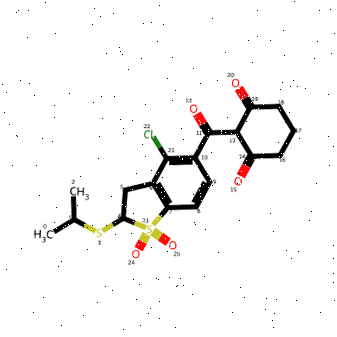 CC(C)SC1Cc2c(ccc(C(=O)C3C(=O)CCCC3=O)c2Cl)S1(=O)=O